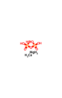 O=P(O)(O)OP(=O)(O)O.[CaH2].[MgH2]